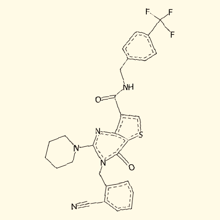 N#Cc1ccccc1Cn1c(N2CCCCC2)nc2c(C(=O)NCc3ccc(C(F)(F)F)cc3)csc2c1=O